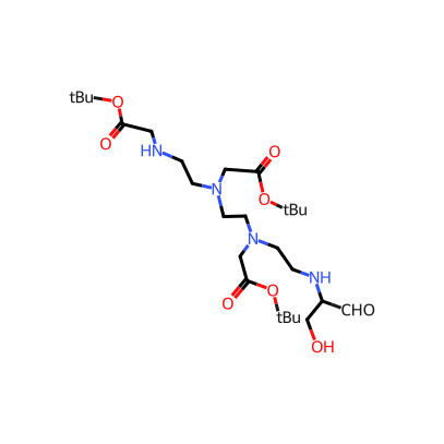 CC(C)(C)OC(=O)CNCCN(CCN(CCNC(C=O)CO)CC(=O)OC(C)(C)C)CC(=O)OC(C)(C)C